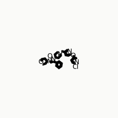 O=C1N(C2CCOCC2)CC(c2ccccc2)N1C1CCN(Cc2ccc(Oc3ccc(Cl)nc3)nc2)CC1